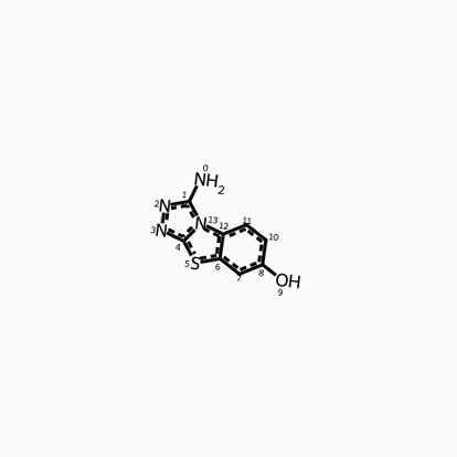 Nc1nnc2sc3cc(O)ccc3n12